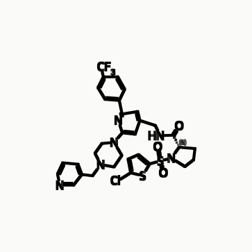 O=C(NCc1cc(-c2ccc(C(F)(F)F)cc2)nc(N2CCN(Cc3cccnc3)CC2)c1)[C@@H]1CCCN1S(=O)(=O)c1ccc(Cl)s1